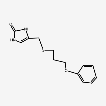 O=c1[nH]cc(CSCCCOc2ccccc2)[nH]1